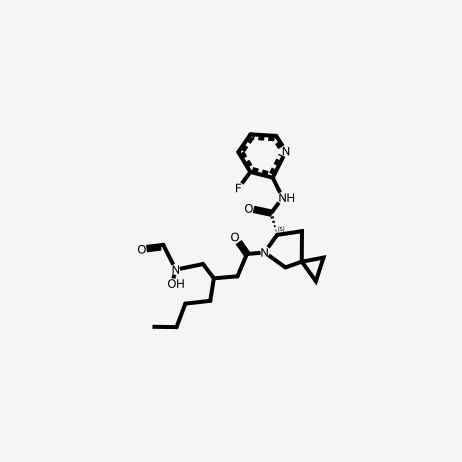 CCCCC(CC(=O)N1CC2(CC2)C[C@H]1C(=O)Nc1ncccc1F)CN(O)C=O